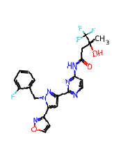 CC(O)(CC(=O)Nc1ccnc(-c2cc(-c3ccon3)n(Cc3ccccc3F)n2)n1)C(F)(F)F